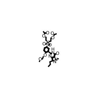 CCCc1nn(C)c2c(=O)[nH]c(-c3cc(S(=O)(=O)N(CCOC(C)=O)CCOC(C)=O)ccc3OCCOC)nc12